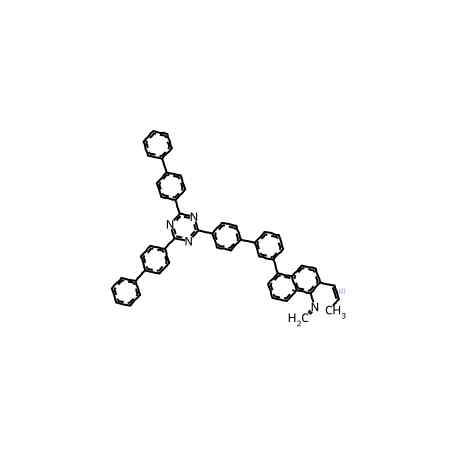 C=Nc1c(/C=C\C)ccc2c(-c3cccc(-c4ccc(-c5nc(-c6ccc(-c7ccccc7)cc6)nc(-c6ccc(-c7ccccc7)cc6)n5)cc4)c3)cccc12